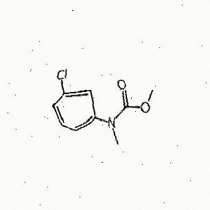 COC(=O)N(C)c1cccc(Cl)c1